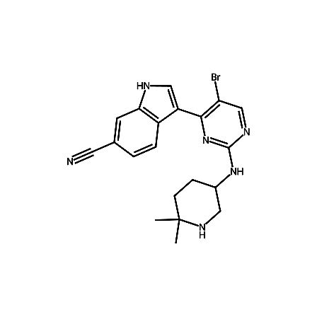 CC1(C)CCC(Nc2ncc(Br)c(-c3c[nH]c4cc(C#N)ccc34)n2)CN1